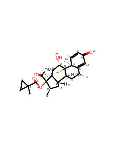 COC(=O)[C@@]1(OC(=O)C2(C)CC2)[C@H](C)C[C@H]2[C@@H]3C[C@H](F)C4=CC(=O)C=C[C@]4(C)[C@@]3(F)[C@@H](O)C[C@@]21C